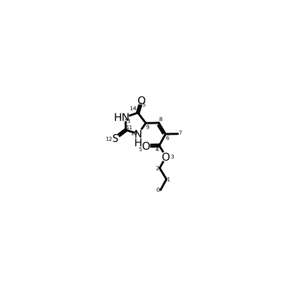 CCCOC(=O)C(C)=CC1NC(=S)NC1=O